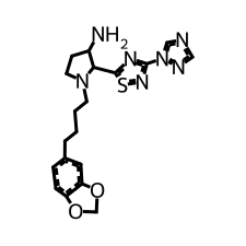 NC1CCN(CCCCc2ccc3c(c2)OCO3)C1c1nc(-n2cncn2)ns1